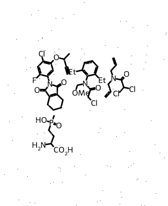 C#CC(C)Oc1cc(N2C(=O)C3=C(CCCC3)C2=O)c(F)cc1Cl.C=CCN(CC=C)C(=O)C(Cl)Cl.CCc1cccc(CC)c1N(COC)C(=O)CCl.CP(=O)(O)CCC(N)C(=O)O